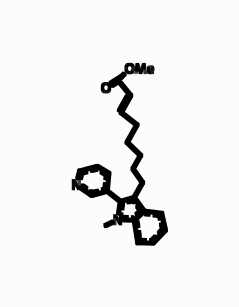 COC(=O)C=CCCCCCc1c(-c2cccnc2)n(C)c2ccccc12